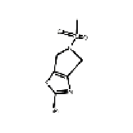 CC(C)c1nc2c(s1)CN(S(C)(=O)=O)C2